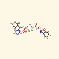 O=C(COc1nc2ccccc2o1)N1CCC(C(O)CC2c3ccccc3-c3cncn32)CC1